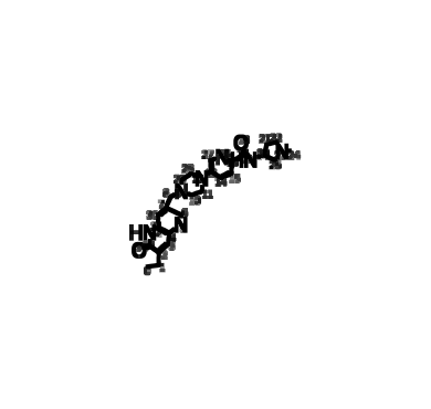 CCc1cc2ncc(CN3CCN(c4ccc(C(=O)N[C@H]5CCN(C)C5)nc4)CC3)cc2[nH]c1=O